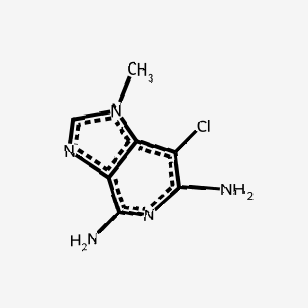 Cn1cnc2c(N)nc(N)c(Cl)c21